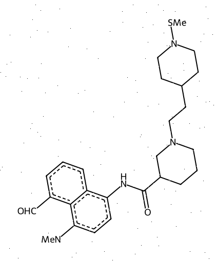 CNc1ccc(NC(=O)C2CCCN(CCC3CCN(SC)CC3)C2)c2cccc(C=O)c12